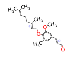 COc1cc(/C=C/C=O)cc(C)c1OC/C=C(\C)CCC=C(C)C